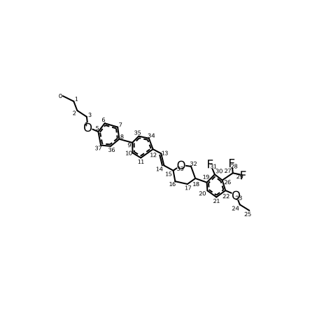 CCCCOc1ccc(-c2ccc(/C=C/C3CCC(c4ccc(OCC)c(C(F)F)c4F)CO3)cc2)cc1